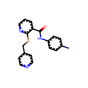 O=C(Nc1ccc(I)cc1)c1cccnc1SCc1ccncc1